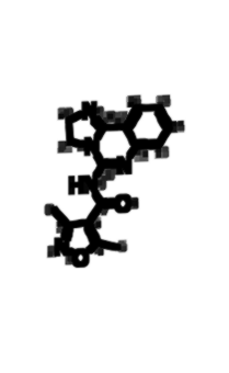 Cc1noc(C)c1C(=O)NC1=Nc2ccccc2C2=NCCN12